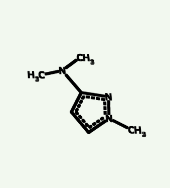 CN(C)c1ccn(C)n1